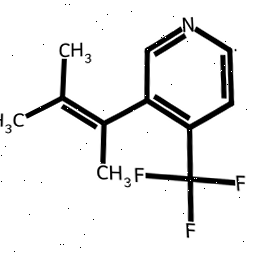 CC(C)=C(C)c1cn[c]cc1C(F)(F)F